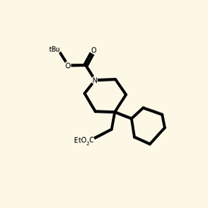 CCOC(=O)CC1(C2CCCCC2)CCN(C(=O)OC(C)(C)C)CC1